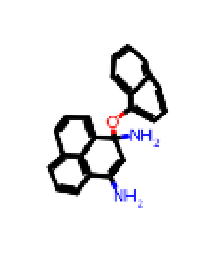 NC1=CC(N)(Oc2cccc3ccccc23)c2cccc3cccc1c23